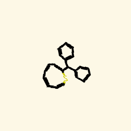 c1cccsc(C(c2ccccc2)c2ccccc2)ccc1